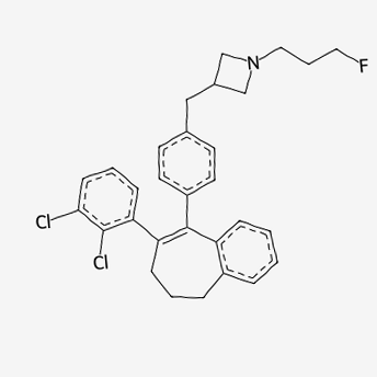 FCCCN1CC(Cc2ccc(C3=C(c4cccc(Cl)c4Cl)CCCc4ccccc43)cc2)C1